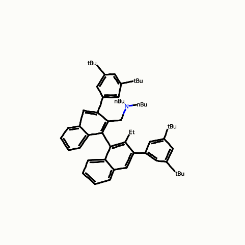 CCCCN(CCCC)Cc1c(-c2cc(C(C)(C)C)cc(C(C)(C)C)c2)cc2ccccc2c1-c1c(CC)c(-c2cc(C(C)(C)C)cc(C(C)(C)C)c2)cc2ccccc12